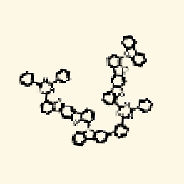 c1ccc(-c2nc(-c3ccccc3)nc(-c3cccc4c3sc3cc5c(cc34)oc3c(-n4c6ccccc6c6ccc(-c7cccc(-c8nc(-c9ccccc9)nc(-c9cccc%10c9sc9cc%11oc%12c(-n%13c%14ccccc%14c%14ccccc%14%13)cccc%12c%11cc9%10)n8)c7)cc64)cccc35)n2)cc1